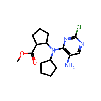 COC(=O)C1CCCC1N(c1nc(Cl)ncc1N)C1CCCC1